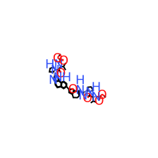 COC(=O)N[C@H](C(=O)N1CCC[C@H]1c1nc2c([nH]1)-c1oc(-c3ccc4c(ccc5nc([C@@H]6CCCN6C(=O)[C@@H](NC(=O)OC)C(C)C)[nH]c54)c3)cc1CC2)C(C)C